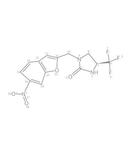 O=C1N[C@H](C(F)(F)F)CN1Cc1cc2ccc([N+](=O)[O-])cc2o1